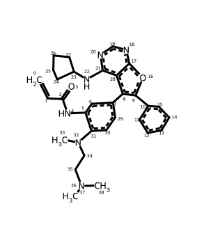 C=CC(=O)Nc1cc(-c2c(-c3ccccc3)oc3ncnc(NC4CCCC4)c23)ccc1N(C)CCN(C)C